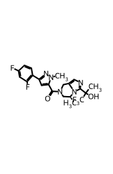 C[C@H]1CN(C(=O)c2cc(-c3ccc(F)cc3F)nn2C)Cc2cnc(C(C)(O)C(F)(F)F)n21